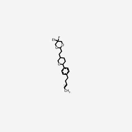 C/C=C/CCc1ccc(C2CCC(CCC3OCC(F)(CC)CO3)CO2)cc1